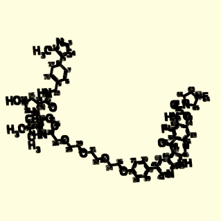 Cc1ncsc1C1C=CC(CNC(=O)[C@@H]2C[C@@H](O)CN2C(=O)[C@@H](NC(=O)COCCOCCOCCOc2ccc(-c3cnc4[nH]cc(C(=O)c5c(F)ccc(NS(=O)(=O)N6CC[C@@H](F)C6)c5F)c4c3)cc2)C(C)(C)C)=CC1